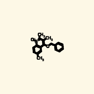 Cc1ccc2c(c1)c(OCc1ccccc1)c(C)c(C)[n+]2[O-]